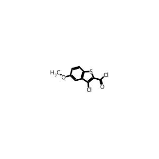 COc1ccc2sc(C(=O)Cl)c(Cl)c2c1